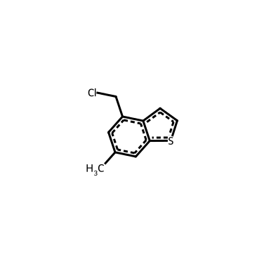 Cc1cc(CCl)c2ccsc2c1